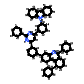 c1ccc(-c2nc(-c3cccc(-c4ccc5c(c4)nc(-c4ccccc4)c4cccc(-c6ccccc6)c45)c3)cc(-c3cccc(-n4c5ccccc5c5ccccc54)c3)n2)cc1